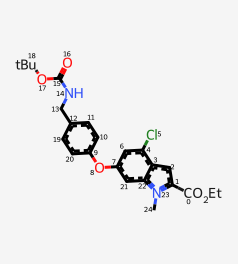 CCOC(=O)c1cc2c(Cl)cc(Oc3ccc(CNC(=O)OC(C)(C)C)cc3)cc2n1C